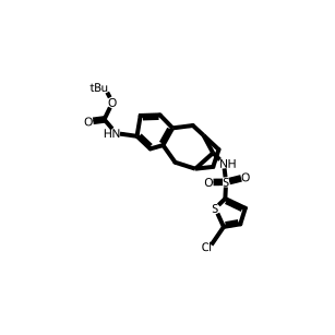 CC(C)(C)OC(=O)Nc1ccc2c(c1)CC1CCC(C2)C1NS(=O)(=O)c1ccc(Cl)s1